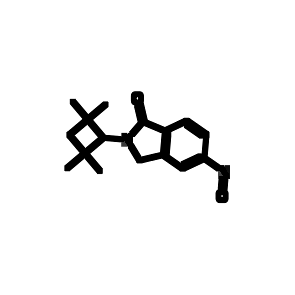 CC1(C)CC(C)(C)C1N1Cc2cc(N=O)ccc2C1=O